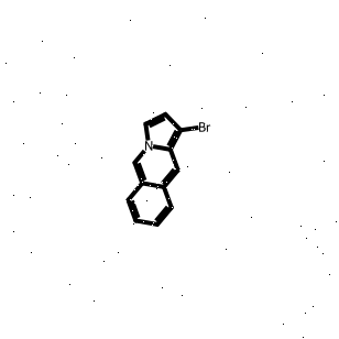 Brc1ccn2cc3ccccc3cc12